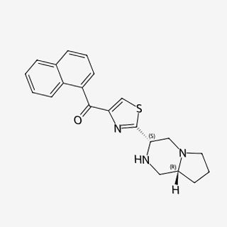 O=C(c1csc([C@@H]2CN3CCC[C@@H]3CN2)n1)c1cccc2ccccc12